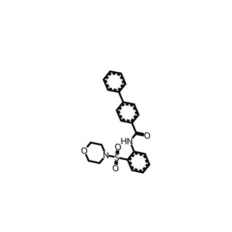 O=C(Nc1ccccc1S(=O)(=O)N1CCOCC1)c1ccc(-c2ccccc2)cc1